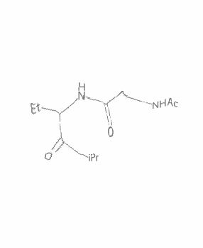 CCC(NC(=O)CNC(C)=O)C(=O)C(C)C